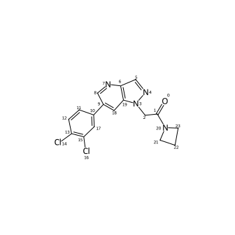 O=C(Cn1ncc2ncc(-c3ccc(Cl)c(Cl)c3)cc21)N1CCC1